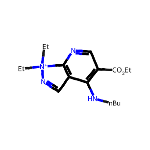 CCCCNc1c(C(=O)OCC)cnc2c1C=N[N+]2(CC)CC